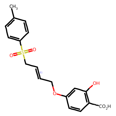 Cc1ccc(S(=O)(=O)C/C=C/COc2ccc(C(=O)O)c(O)c2)cc1